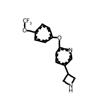 FC(F)(F)Oc1ccc(Oc2ccc(C3CNC3)cn2)cc1